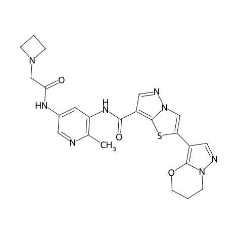 Cc1ncc(NC(=O)CN2CCC2)cc1NC(=O)c1cnn2cc(-c3cnn4c3OCCC4)sc12